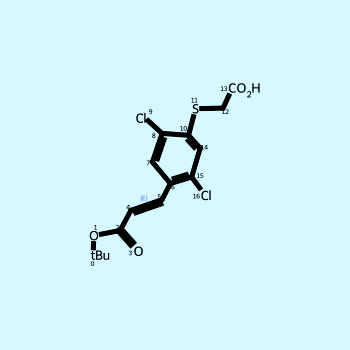 CC(C)(C)OC(=O)/C=C/c1cc(Cl)c(SCC(=O)O)cc1Cl